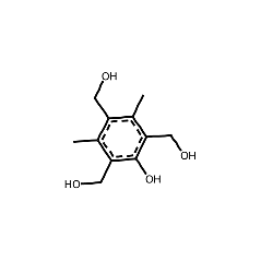 Cc1c(CO)c(C)c(CO)c(O)c1CO